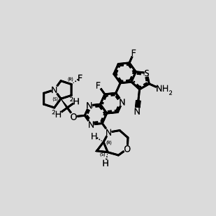 [2H]C([2H])(Oc1nc(N2CCOC[C@H]3C[C@H]32)c2cnc(-c3ccc(F)c4sc(N)c(C#N)c34)c(F)c2n1)[C@@]12CCCN1C[C@H](F)C2